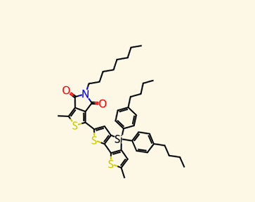 CCCCCCCCN1C(=O)c2c(C)sc(-c3cc4c(s3)-c3sc(C)cc3[Si]4(c3ccc(CCCC)cc3)c3ccc(CCCC)cc3)c2C1=O